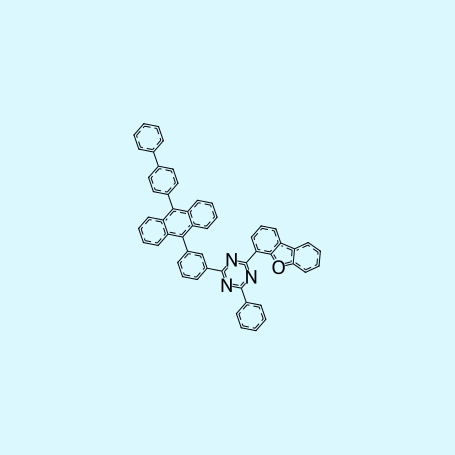 c1ccc(-c2ccc(-c3c4ccccc4c(-c4cccc(-c5nc(-c6ccccc6)nc(-c6cccc7c6oc6ccccc67)n5)c4)c4ccccc34)cc2)cc1